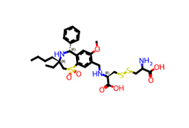 CCCC[C@]1(CC)CS(=O)(=O)c2cc(CN[C@@H](CSSCC(N)C(=O)O)C(=O)O)c(OC)cc2[C@@H](c2ccccc2)N1